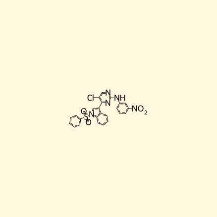 O=[N+]([O-])c1cccc(Nc2ncc(Cl)c(-c3cn(S(=O)(=O)c4ccccc4)c4ccccc34)n2)c1